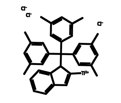 Cc1cc(C)cc(C(c2cc(C)cc(C)c2)(c2cc(C)cc(C)c2)C2[C]([Ti+3])=Cc3ccccc32)c1.[Cl-].[Cl-].[Cl-]